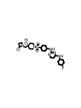 O=C1CCN1CC1(O)CCN(S(=O)(=O)c2ccc(Nc3nccc(Nc4ccc(F)cc4)n3)cc2)CC1